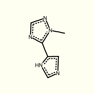 Cn1ncnc1-c1cnc[nH]1